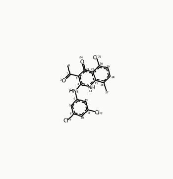 CC(=O)c1c(Nc2cc(Cl)cc(Cl)c2)[nH]c2c(C)ccc(Cl)c2c1=O